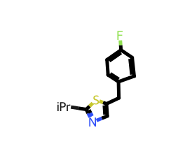 CC(C)c1ncc(Cc2ccc(F)cc2)s1